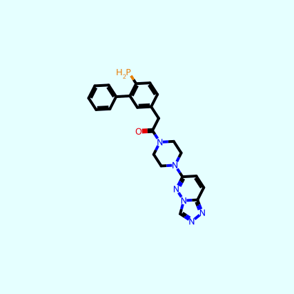 O=C(Cc1ccc(P)c(-c2ccccc2)c1)N1CCN(c2ccc3nncn3n2)CC1